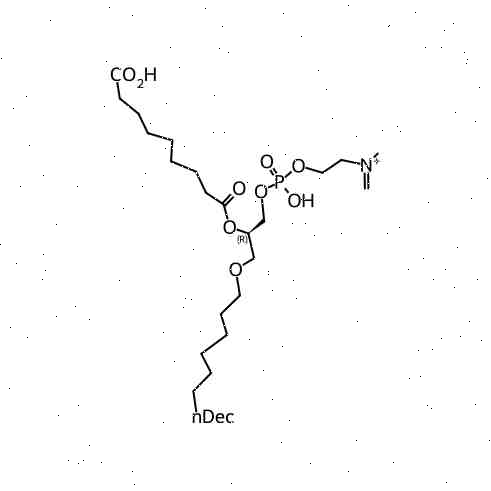 C=[N+](C)CCOP(=O)(O)OC[C@@H](COCCCCCCCCCCCCCCCC)OC(=O)CCCCCCCC(=O)O